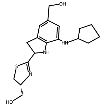 OCc1cc2c(c(NC3CCCC3)c1)NC(C1=N[C@H](CO)CS1)C2